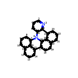 c1cnc2c(c1)N1c3cccc4cccc(c34)-c3ccc4cccc-2c4c31